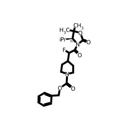 CC(C)[C@@H]1N(C(=O)C(F)C2CCN(C(=O)OCc3ccccc3)CC2)C(=O)OC1(C)C